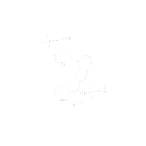 C=C(C)c1ccccc1[C@@H](NS(=O)(=O)C1CC1)c1cc2cccc(-c3cc([C@](C)(O)C(F)(F)F)ccn3)c2s1